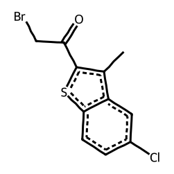 Cc1c(C(=O)CBr)sc2ccc(Cl)cc12